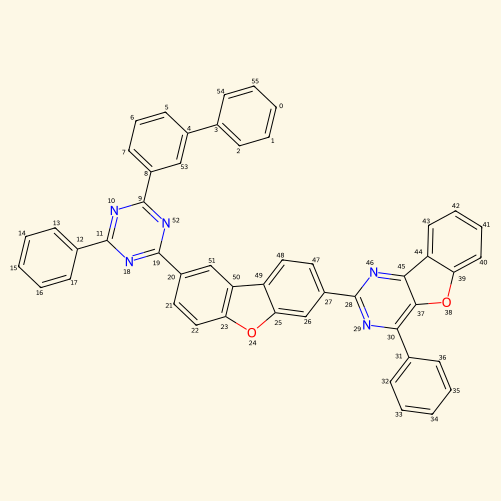 c1ccc(-c2cccc(-c3nc(-c4ccccc4)nc(-c4ccc5oc6cc(-c7nc(-c8ccccc8)c8oc9ccccc9c8n7)ccc6c5c4)n3)c2)cc1